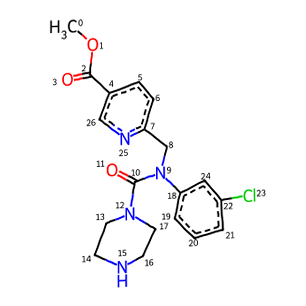 COC(=O)c1ccc(CN(C(=O)N2CCNCC2)c2cccc(Cl)c2)nc1